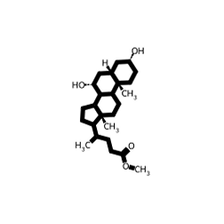 COC(=O)CCC(C)C1CCC2C3C(CC[C@]12C)[C@@]1(C)CC[C@@H](O)C[C@H]1C[C@H]3O